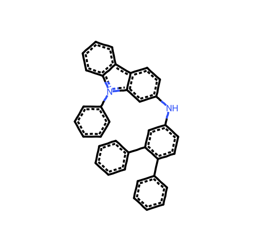 c1ccc(-c2ccc(Nc3ccc4c5ccccc5n(-c5ccccc5)c4c3)cc2-c2ccccc2)cc1